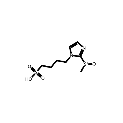 C[S+]([O-])c1nccn1CCCCS(=O)(=O)O